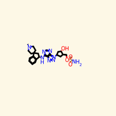 CN1CCC2(CC1)C[C@H](Nc1ncnc3c1nnn3C1CC(O)C(COS(N)(=O)=O)C1)c1ccccc12